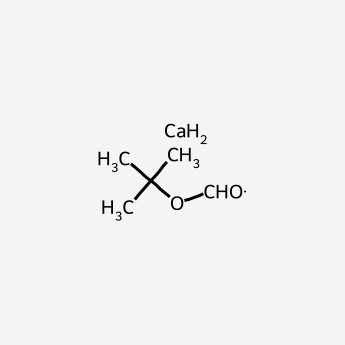 CC(C)(C)O[C]=O.[CaH2]